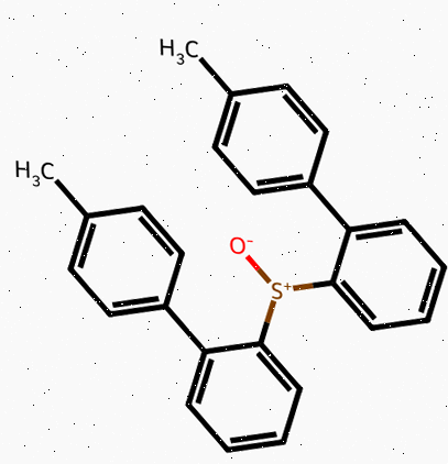 Cc1ccc(-c2ccccc2[S+]([O-])c2ccccc2-c2ccc(C)cc2)cc1